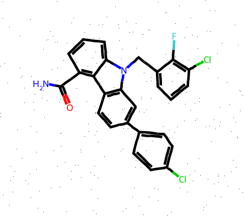 NC(=O)c1cccc2c1c1[c]cc(-c3ccc(Cl)cc3)cc1n2Cc1cccc(Cl)c1F